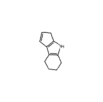 C1=Cc2c([nH]c3c2CCCC3)C1